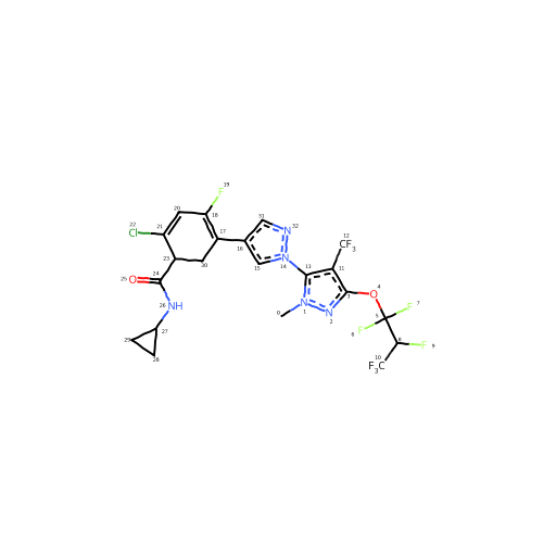 Cn1nc(OC(F)(F)C(F)C(F)(F)F)c(C(F)(F)F)c1-n1cc(C2=C(F)C=C(Cl)C(C(=O)NC3CC3)C2)cn1